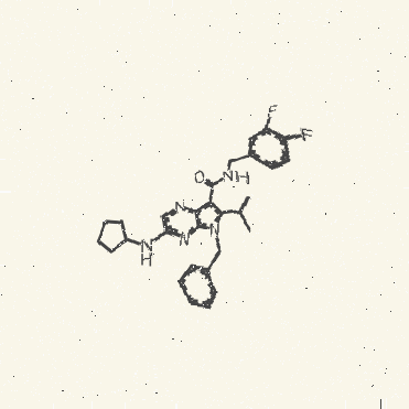 CC(C)c1c(C(=O)NCc2ccc(F)c(F)c2)c2ncc(NC3CCCC3)nc2n1Cc1ccccc1